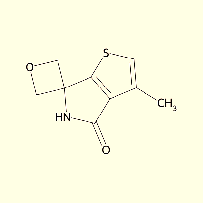 Cc1csc2c1C(=O)NC21COC1